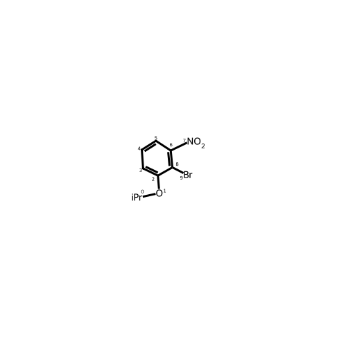 CC(C)Oc1cccc([N+](=O)[O-])c1Br